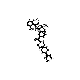 Cc1cccc(C)c1C(=O)NC1c2cc(C(=O)N3CCC4(CC3)CCN(c3ccncc3)CC4)ccc2CC1(C)C